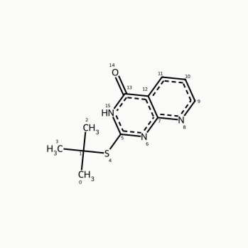 CC(C)(C)Sc1nc2ncccc2c(=O)[nH]1